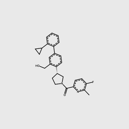 Cc1nc(C(=O)N2CC[C@H](c3ccc(-c4ccccc4C4CC4)cc3CO)C2)ccc1F